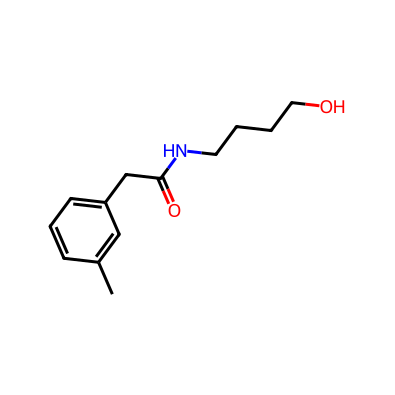 Cc1cccc(CC(=O)NCCCCO)c1